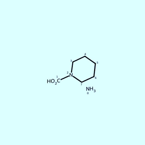 N.O=C(O)N1CCCCC1